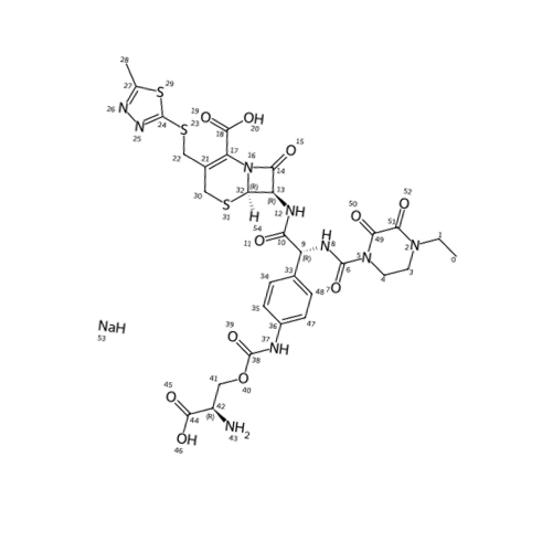 CCN1CCN(C(=O)N[C@@H](C(=O)N[C@@H]2C(=O)N3C(C(=O)O)=C(CSc4nnc(C)s4)CS[C@H]23)c2ccc(NC(=O)OC[C@@H](N)C(=O)O)cc2)C(=O)C1=O.[NaH]